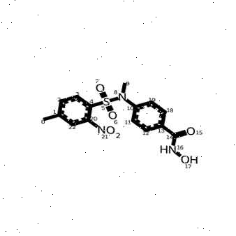 Cc1ccc(S(=O)(=O)N(C)c2ccc(C(=O)NO)cc2)c([N+](=O)[O-])c1